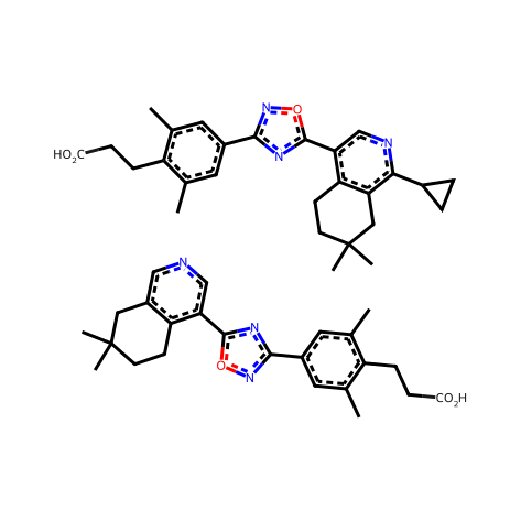 Cc1cc(-c2noc(-c3cnc(C4CC4)c4c3CCC(C)(C)C4)n2)cc(C)c1CCC(=O)O.Cc1cc(-c2noc(-c3cncc4c3CCC(C)(C)C4)n2)cc(C)c1CCC(=O)O